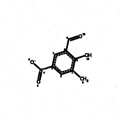 Cc1cc([N+](=O)[O-])cc(C=O)c1O